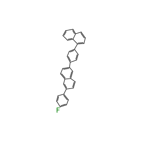 Fc1ccc(-c2ccc3cc(-c4ccc(-c5cccc6ccccc56)cc4)ccc3c2)cc1